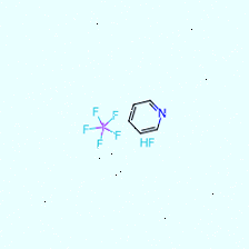 F.FI(F)(F)(F)F.c1ccncc1